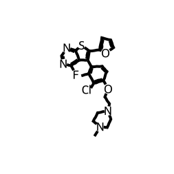 Cc1c(-c2c(-c3ccco3)sc3ncnc(F)c23)ccc(OCCN2CCN(C)CC2)c1Cl